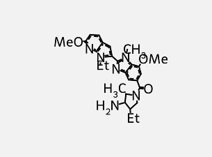 CCC1CN(C(=O)c2cc(OC)c3c(c2)nc(-c2cc4ccc(OC)nc4n2CC)n3C)C(C)C1N